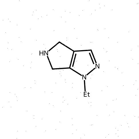 CCn1ncc2c1CNC2